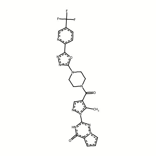 Cc1c(C(=O)N2CCN(c3nnc(-c4ccc(C(F)(F)F)cn4)o3)CC2)cnn1-c1nn2cccc2c(=O)[nH]1